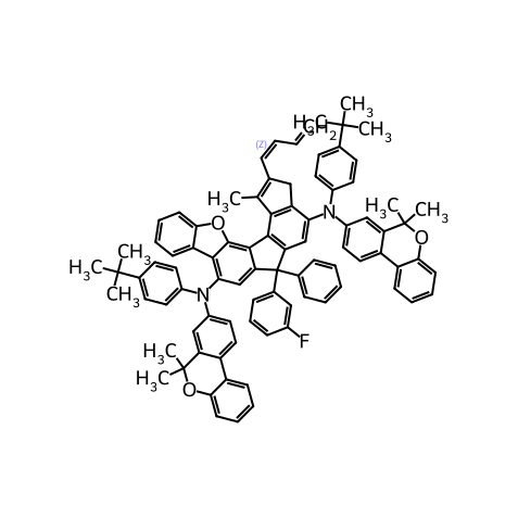 C=C/C=C\C1=C(C)c2c(c(N(c3ccc(C(C)(C)C)cc3)c3ccc4c(c3)C(C)(C)Oc3ccccc3-4)cc3c2-c2c(cc(N(c4ccc(C(C)(C)C)cc4)c4ccc5c(c4)C(C)(C)Oc4ccccc4-5)c4c2oc2ccccc24)C3(c2ccccc2)c2cccc(F)c2)C1